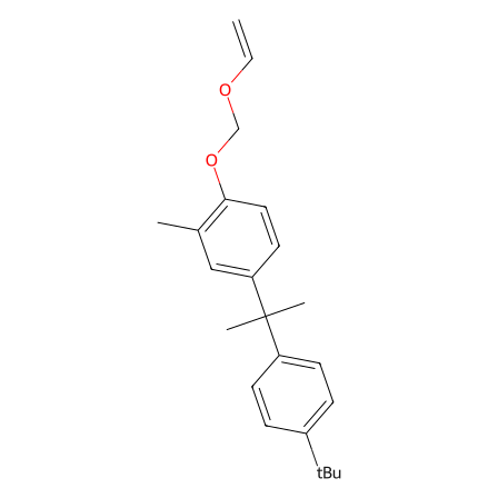 C=COCOc1ccc(C(C)(C)c2ccc(C(C)(C)C)cc2)cc1C